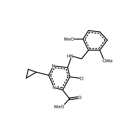 COC(=O)c1nc(C2CC2)nc(NCc2c(OC)cccc2OC)c1Cl